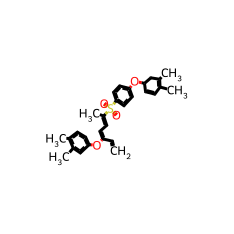 C=C/C(=C\C=C(/C)S(=O)(=O)c1ccc(OC2C=CC(C)=C(C)C2)cc1)Oc1ccc(C)c(C)c1